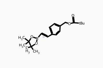 CC(C)(C)C(=O)OCc1ccc(/C=C/B2OC(C)(C)C(C)(C)O2)cc1